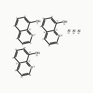 Oc1cccc2cccnc12.Oc1cccc2cccnc12.Oc1cccc2cccnc12.[Al].[Al].[Al]